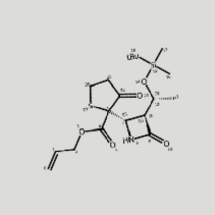 C=CCOC(=O)C1([C@H]2NC(=O)[C@@H]2[C@@H](C)O[Si](C)(C)C(C)(C)C)SCCC1=O